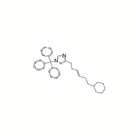 C(=C\CCC1CCCCC1)/CCc1cn(C(c2ccccc2)(c2ccccc2)c2ccccc2)cn1